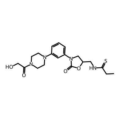 CCC(=S)NCC1CN(c2cccc(N3CCN(C(=O)CO)CC3)c2)C(=O)O1